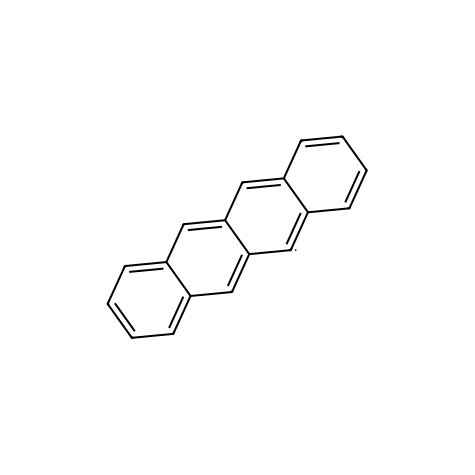 [c]1c2ccccc2cc2cc3ccccc3cc12